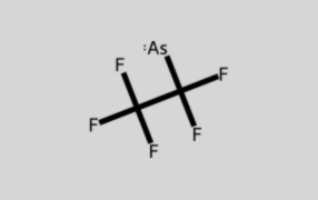 FC(F)(F)C(F)(F)[As]